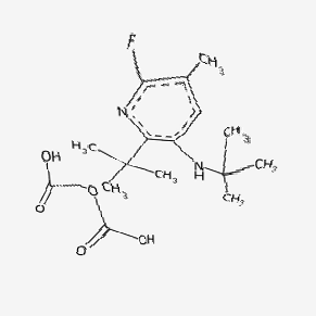 Cc1cc(NC(C)(C)C)c(C(C)(C)C)nc1F.O=C(O)OC(=O)O